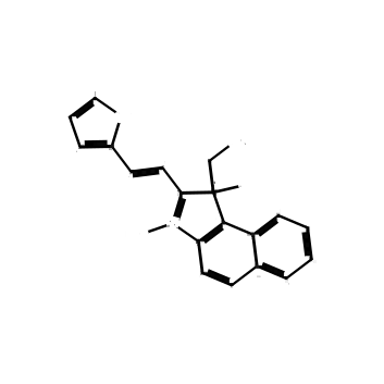 C[N+]1=C(/C=C/c2cccs2)C(C)(CC#N)c2c1ccc1ccccc21